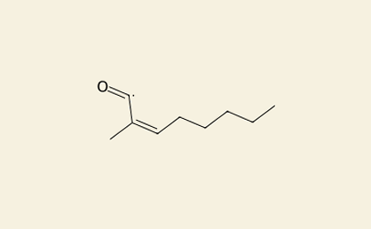 CCCCCC=C(C)[C]=O